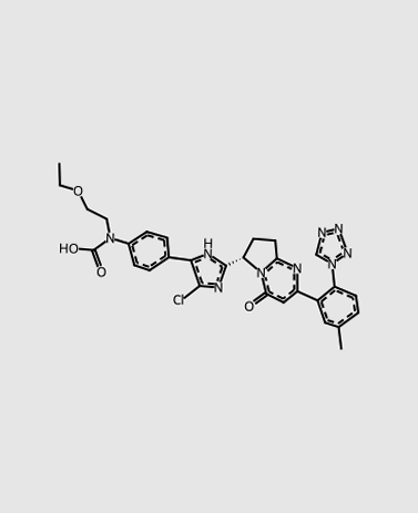 CCOCCN(C(=O)O)c1ccc(-c2[nH]c([C@@H]3CCc4nc(-c5cc(C)ccc5-n5cnnn5)cc(=O)n43)nc2Cl)cc1